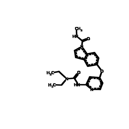 CCN(CC)C(=O)Nc1cc(Oc2ccc3c(ccn3C(=O)NC)c2)ccn1